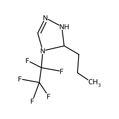 CCCC1NN=CN1C(F)(F)C(F)(F)F